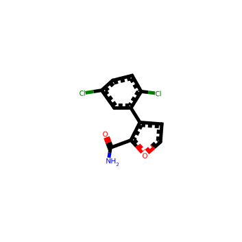 NC(=O)c1occc1-c1cc(Cl)ccc1Cl